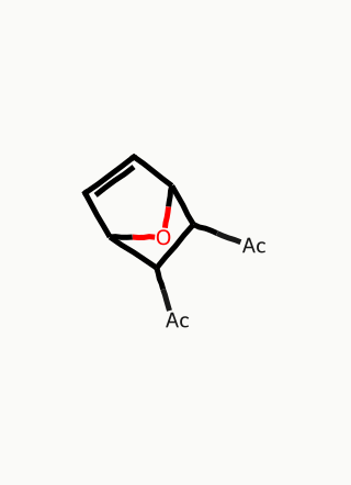 CC(=O)C1C2C=CC(O2)C1C(C)=O